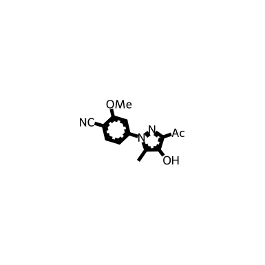 COc1cc(-n2nc(C(C)=O)c(O)c2C)ccc1C#N